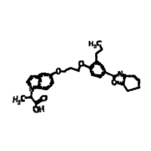 CCCc1cc(-c2nc3c(o2)CCCC3)ccc1OCCCOc1ccc2c(ccn2C(C)C(=O)O)c1